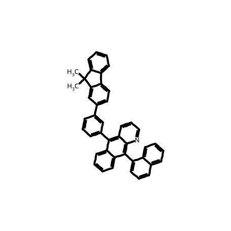 CC1(C)c2ccccc2-c2ccc(-c3cccc(-c4c5ccccc5c(-c5cccc6ccccc56)c5ncccc45)c3)cc21